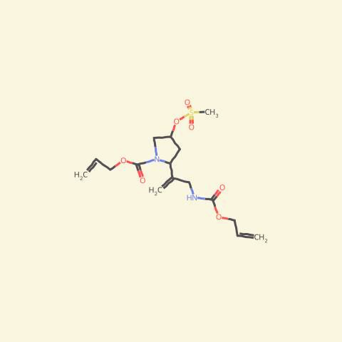 C=CCOC(=O)NCC(=C)C1CC(OS(C)(=O)=O)CN1C(=O)OCC=C